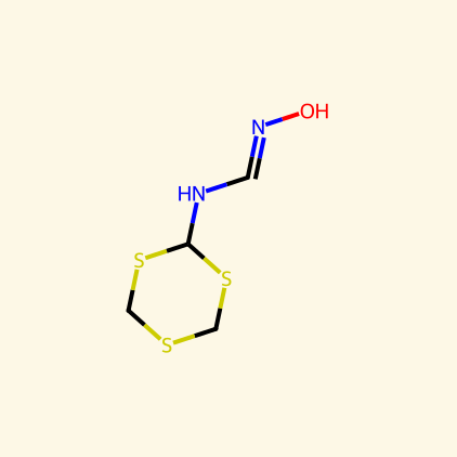 ON=CNC1SCSCS1